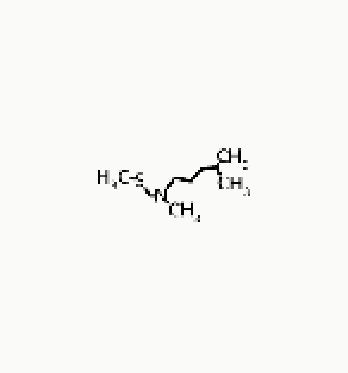 CSCN(C)CCCC(C)C